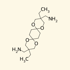 CCC1(CN)COC2(CCC3(CC2)OCC(CC)(CN)CO3)OC1